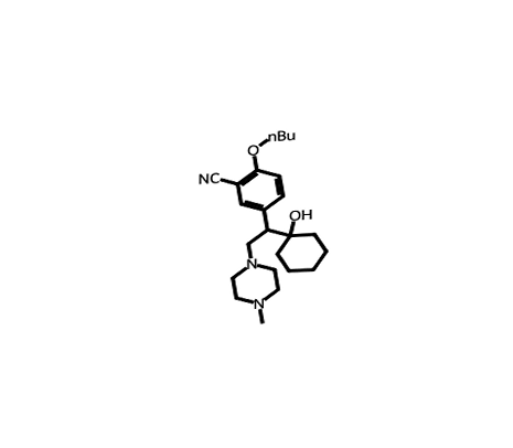 CCCCOc1ccc(C(CN2CCN(C)CC2)C2(O)CCCCC2)cc1C#N